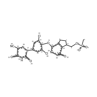 CS(=O)(=O)OCC1CCc2c(Oc3c(Cl)cc(-n4nc(C#N)c(=O)[nH]c4=O)cc3Cl)n[nH]c(=O)c21